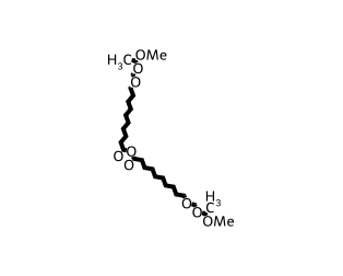 COC(C)OCOCCCCCCCCCC(=O)OC(=O)CCCCCCCCCOCOC(C)OC